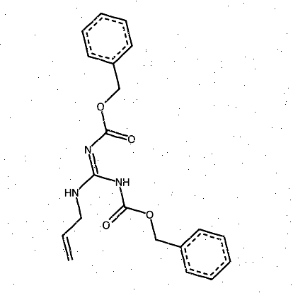 C=CCN/C(=N/C(=O)OCc1ccccc1)NC(=O)OCc1ccccc1